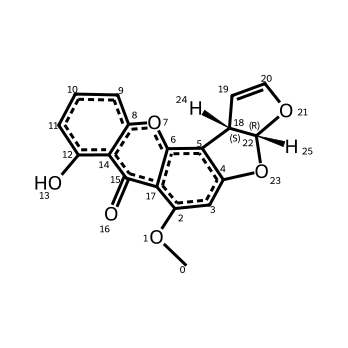 COc1cc2c(c3oc4cccc(O)c4c(=O)c13)[C@@H]1C=CO[C@@H]1O2